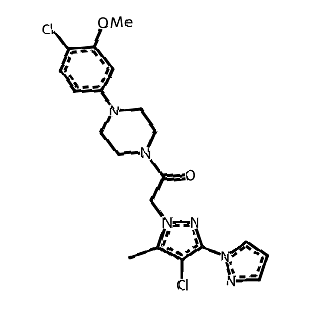 COc1cc(N2CCN(C(=O)Cn3nc(-n4cccn4)c(Cl)c3C)CC2)ccc1Cl